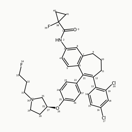 O=C(Nc1ccc2c(c1)CCCC(c1ccc(Cl)cc1Cl)=C2c1ccc(O[C@H]2CCN(CCCF)C2)cc1)C1(F)CC1